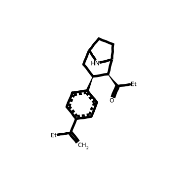 C=C(CC)c1ccc([C@H]2CC3CCC(N3)[C@H]2C(=O)CC)cc1